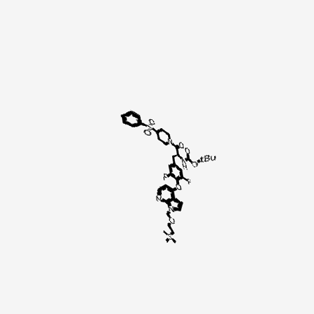 CC(C)(C)OC(=O)N[C@@H](Cc1cc(F)c(Oc2ccnc3c2ccn3COCCS(C)(C)C)c(F)c1)C(=O)N1CCC(S(=O)(=O)c2ccccc2)CC1